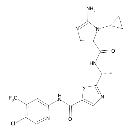 C[C@@H](NC(=O)c1cnc(N)n1C1CC1)c1ncc(C(=O)Nc2cc(C(F)(F)F)c(Cl)cn2)s1